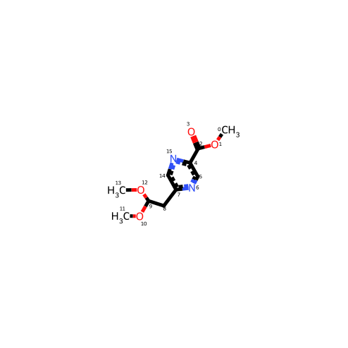 COC(=O)c1cnc(CC(OC)OC)cn1